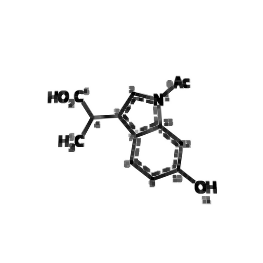 CC(=O)n1cc(C(C)C(=O)O)c2ccc(O)cc21